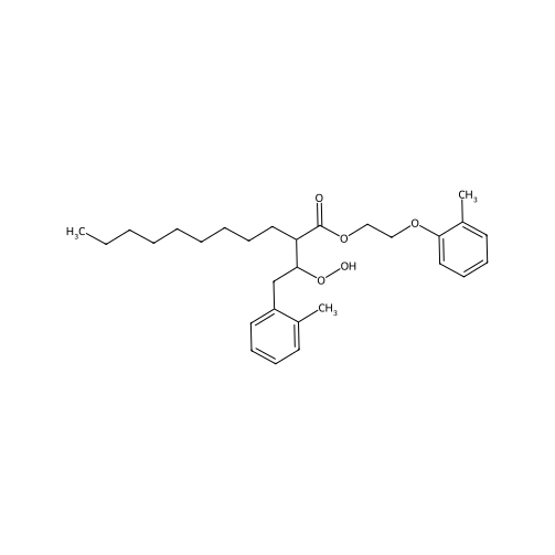 CCCCCCCCCC(C(=O)OCCOc1ccccc1C)C(Cc1ccccc1C)OO